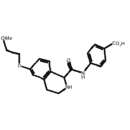 COCCOc1ccc2c(c1)CCNC2C(=O)Nc1ccc(C(=O)O)cc1